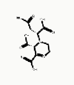 O=C(O)C[C@H](C(=O)O)N1CCN=C(C(=O)O)[C@@H]1C(=O)O